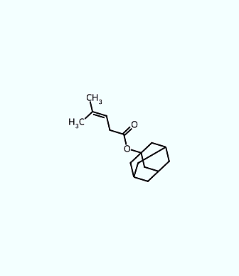 CC(C)=CCC(=O)OC12CC3CC(CC(C3)C1)C2